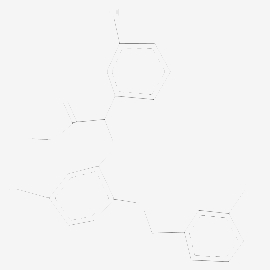 O=C(OO)C(Oc1cc(Cl)ccc1OCc1cccc(O)c1)c1cccc(O)c1